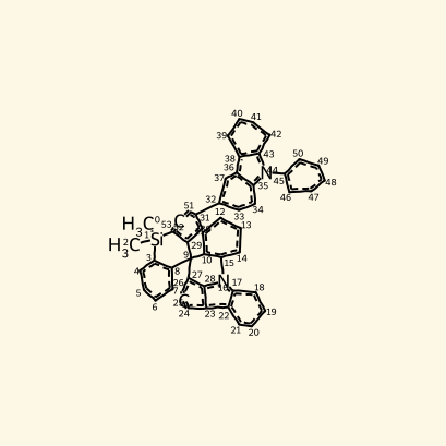 C[Si]1(C)c2ccccc2C2(c3ccccc3-n3c4ccccc4c4cccc2c43)c2cc(-c3ccc4c(c3)c3ccccc3n4-c3ccccc3)ccc21